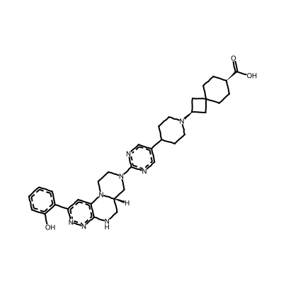 O=C(O)[C@H]1CCC2(CC1)C[C@H](N1CCC(c3cnc(N4CCN5c6cc(-c7ccccc7O)nnc6NC[C@H]5C4)nc3)CC1)C2